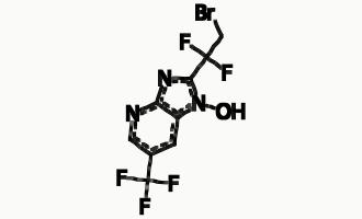 On1c(C(F)(F)CBr)nc2ncc(C(F)(F)F)cc21